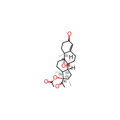 CC(=O)O[C@]1(C(C)=O)[C@@H](C)C[C@H]2[C@@H]3CCC4=CC(=O)CC[C@]4(C)[C@@]3(O)CC[C@@]21C